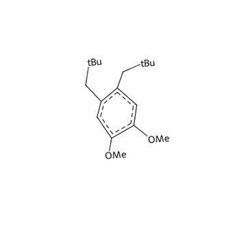 COc1cc(CC(C)(C)C)c(CC(C)(C)C)cc1OC